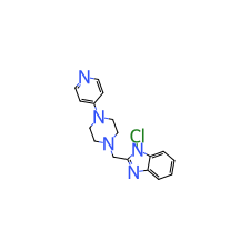 Cln1c(CN2CCN(c3ccncc3)CC2)nc2ccccc21